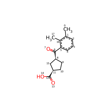 Cc1cccc(C(=O)[C@H]2CC[C@@H](C(=O)O)C2)c1C